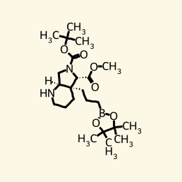 COC(=O)[C@H]1N(C(=O)OC(C)(C)C)C[C@@H]2NCCC[C@@]21CCCB1OC(C)(C)C(C)(C)O1